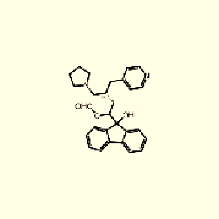 O=COC(C[C@@H](Cc1ccncc1)CN1CCCC1)C1(O)c2ccccc2-c2ccccc21